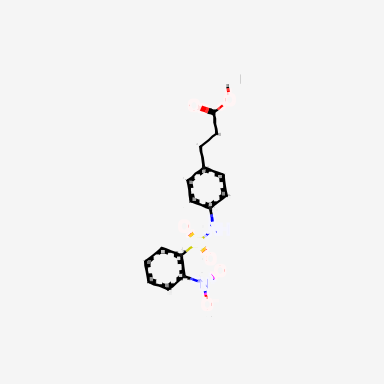 COC(=O)CCc1ccc(NS(=O)(=O)c2ccccc2[N+](=O)[O-])cc1